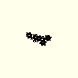 O[C@@H]1c2ccc(OC(c3ccccc3)c3ccccc3)cc2OC[C@H]1Cc1cccnc1